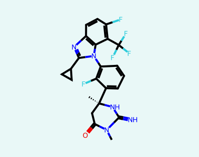 CN1C(=N)N[C@](C)(c2cccc(-n3c(C4CC4)nc4ccc(F)c(C(F)(F)F)c43)c2F)CC1=O